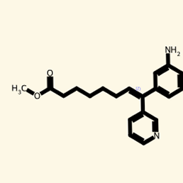 COC(=O)CCCCC/C=C(\c1cccnc1)c1cccc(N)c1